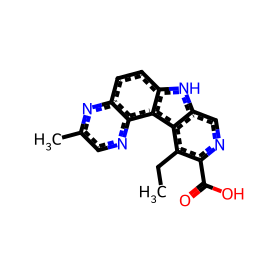 CCc1c(C(=O)O)ncc2[nH]c3ccc4nc(C)cnc4c3c12